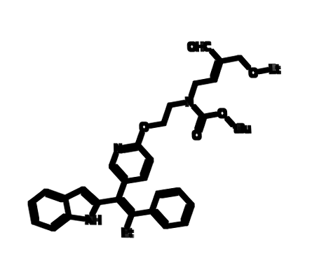 CCOC/C(C=O)=C/CN(CCOc1ccc(/C(=C(/CC)c2ccccc2)c2cc3ccccc3[nH]2)cn1)C(=O)OC(C)(C)C